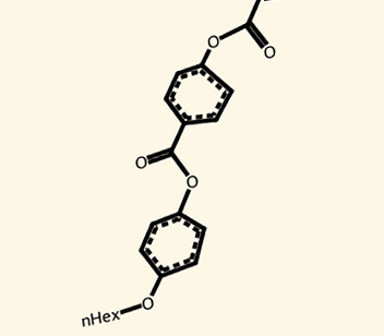 C=CC(=O)Oc1ccc(C(=O)Oc2ccc(OCCCCCC)cc2)cc1